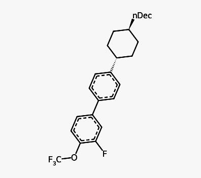 CCCCCCCCCC[C@H]1CC[C@H](c2ccc(-c3ccc(OC(F)(F)F)c(F)c3)cc2)CC1